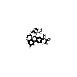 Cn1nnc(C[C@H]2COc3cc(F)cc(F)c3N2Cc2ccc3c(c2)NC(=O)CO3)n1